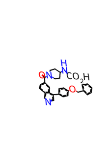 O=C(O)NC1CCN(C(=O)c2ccc3cncc(-c4ccc(OCc5ccccc5)cc4)c3c2)CC1